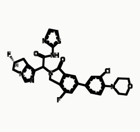 O=C(Nc1nccs1)C(c1ncn2c1C[C@@H](F)C2)N1Cc2c(F)cc(-c3ccc(N4CCOCC4)c(Cl)c3)cc2C1=O